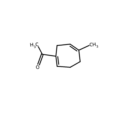 CC(=O)C1=CCCC(C)=CC1